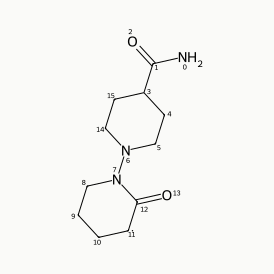 NC(=O)C1CCN(N2CCC[CH]C2=O)CC1